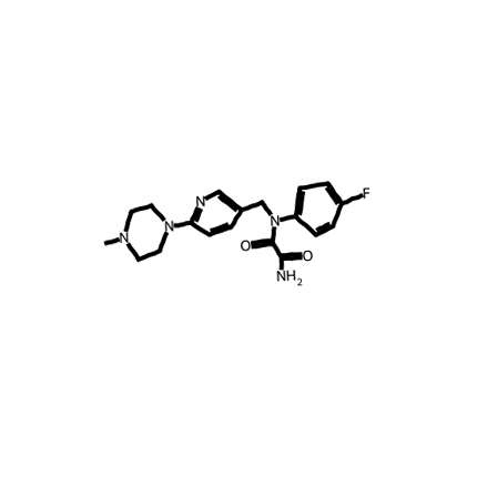 CN1CCN(c2ccc(CN(C(=O)C(N)=O)c3ccc(F)cc3)cn2)CC1